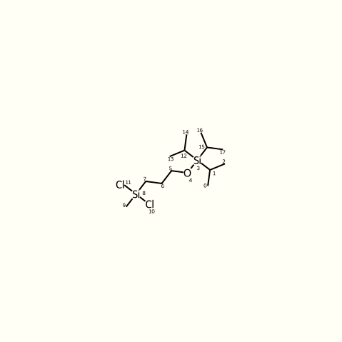 CC(C)[Si](OCCC[Si](C)(Cl)Cl)(C(C)C)C(C)C